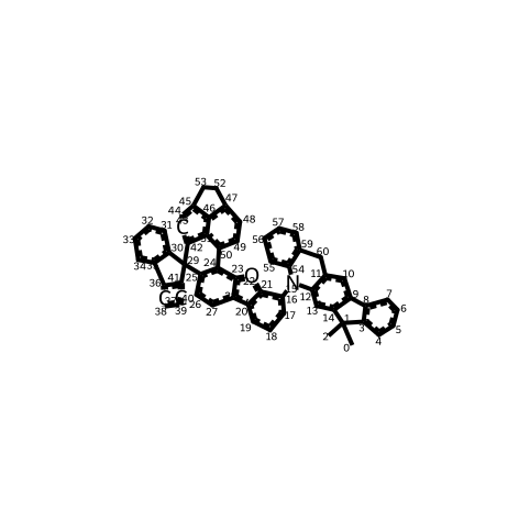 CC1(C)c2ccccc2-c2cc3c(cc21)N(c1cccc2c1oc1c4c(ccc12)C1(c2ccccc2-c2ccccc21)c1ccc2c5c(ccc-4c15)CC2)c1ccccc1C3